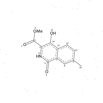 COC(=O)c1[nH]c(=O)c2cc(C)ccc2c1O